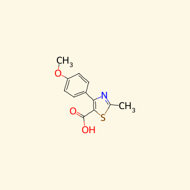 COc1ccc(-c2nc(C)sc2C(=O)O)cc1